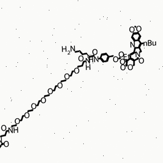 CCCCc1c2c(nc3cc4c(cc13)OCO4)-c1cc3c(c(=O)n1C2)COC(=O)[C@@]3(CC)OC(=O)OCc1ccc(NC(=O)[C@H](CCCCN)NC(=O)CCOCCOCCOCCOCCOCCOCCOCCOCCNC(=O)CCN2C(=O)C=CC2=O)cc1